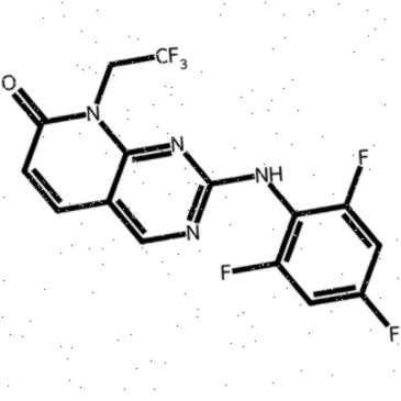 O=c1ccc2cnc(Nc3c(F)cc(F)cc3F)nc2n1CC(F)(F)F